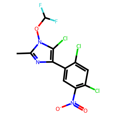 Cc1nc(-c2cc([N+](=O)[O-])c(Cl)cc2Cl)c(Cl)n1OC(F)F